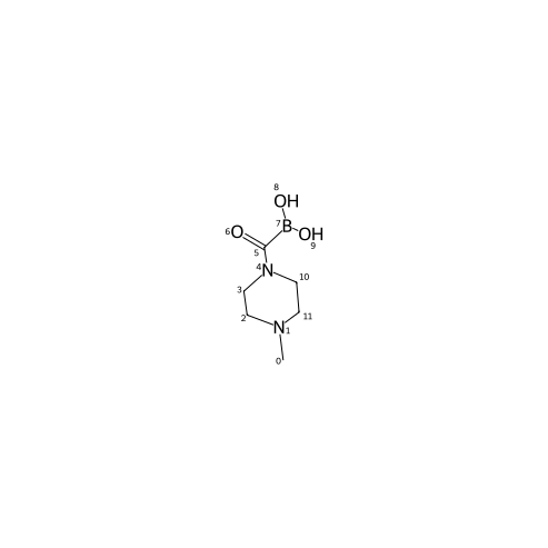 CN1CCN(C(=O)B(O)O)CC1